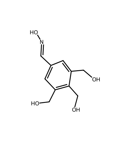 OCc1cc(/C=N/O)cc(CO)c1CO